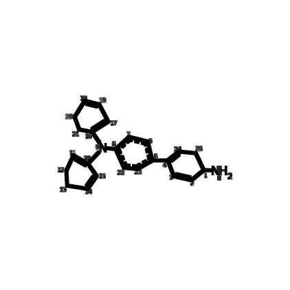 NC1C=CC(c2ccc(N(C3=CCCC=C3)C3=CC=CCC3)cc2)=CC1